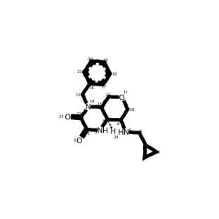 O=C1N[C@@H]2C(NCC3CC3)COCC2N(Cc2ccccc2)C1=O